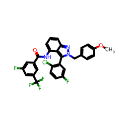 COc1ccc(Cn2nc3cccc(NC(=O)c4cc(F)cc(C(F)(F)F)c4)c3c2-c2cc(F)ccc2Cl)cc1